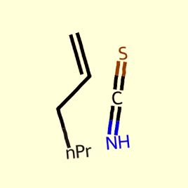 C=CCCCC.N=C=S